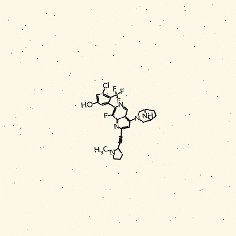 CN1CCCC1C#Cc1cc(N2CC3CCC(C2)N3)c2cnc(-c3cc(O)cc(Cl)c3C(F)(F)F)c(F)c2n1